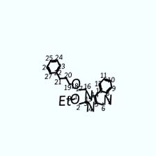 CCOCc1nc2cnc3ccccc3c2n1CCOCCCc1ccccc1